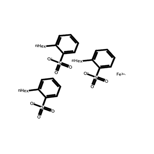 CCCCCCc1ccccc1S(=O)(=O)[O-].CCCCCCc1ccccc1S(=O)(=O)[O-].CCCCCCc1ccccc1S(=O)(=O)[O-].[Fe+3]